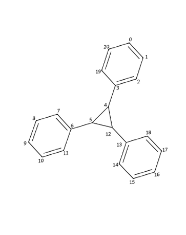 c1ccc(C2C(c3ccccc3)C2c2ccccc2)cc1